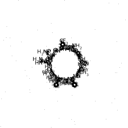 CCCC[C@H]1C(=O)N(C)[C@@H](CCCC)C(=O)N[C@@H](CCCNC(=N)N)C(=O)N[C@H](C(=O)NCC(N)=O)CSCC(=O)N[C@@H](Cc2cccc(C(F)(F)F)c2)C(=O)N(C)[C@@H](C)C(=O)N[C@@H](CC(N)=O)C(=O)N2CCC[C@H]2C(=O)N[C@@H](Cc2cnc[nH]2)C(=O)N[C@@H](CC(C)C)C(=O)N(C)CC(=O)N[C@@H](Cc2c[nH]c3ccccc23)C(=O)N[C@@H](CO)C(=O)N[C@@H](Cc2c[nH]c3ccccc23)C(=O)N1C